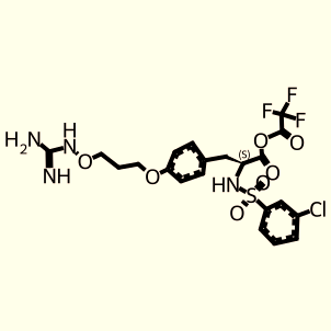 N=C(N)NOCCCOc1ccc(C[C@H](NS(=O)(=O)c2cccc(Cl)c2)C(=O)OC(=O)C(F)(F)F)cc1